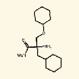 CNC(=O)C(N)(COC1CCCCC1)CC1CCCCC1